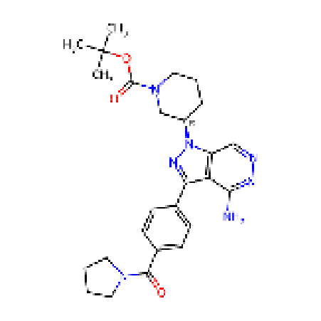 CC(C)(C)OC(=O)N1CCC[C@@H](n2nc(-c3ccc(C(=O)N4CCCC4)cc3)c3c(N)nncc32)C1